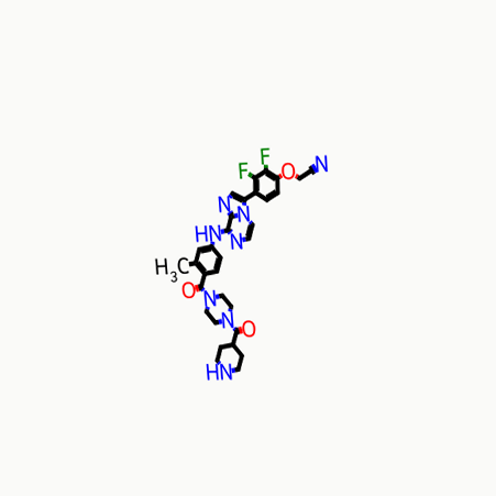 Cc1cc(Nc2nccn3c(-c4ccc(OCC#N)c(F)c4F)cnc23)ccc1C(=O)N1CCN(C(=O)C2CCNCC2)CC1